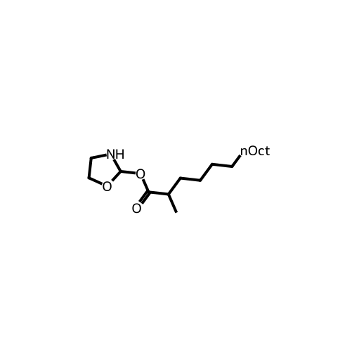 CCCCCCCCCCCCC(C)C(=O)OC1NCCO1